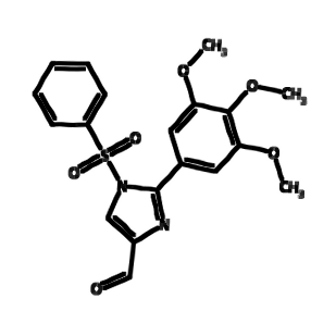 COc1cc(-c2nc(C=O)cn2S(=O)(=O)c2ccccc2)cc(OC)c1OC